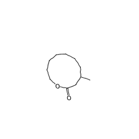 CC1CCCCCCCOC(=O)C1